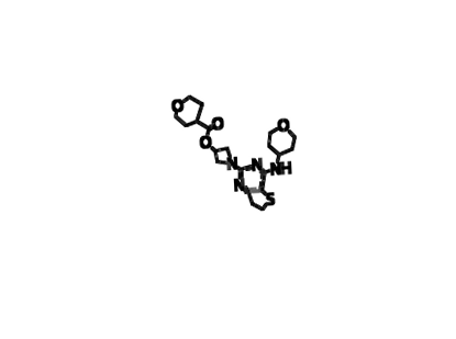 O=C(OC1CN(c2nc3c(c(NC4CCOCC4)n2)SCC3)C1)C1CCOCC1